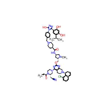 C=CC(=O)N1CCN(c2nc(OC[C@@H]3C[C@@H](NC(=O)C4CCN(Cc5ccc(-n6c(O)nnc6-c6cc(C(C)C)c(O)cc6O)cc5)CC4)CN3C)nc3c2CCN(c2cccc4cccc(Cl)c24)C3)C[C@@H]1CC#N